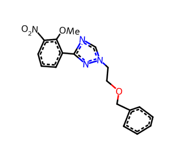 COc1c(-c2ncn(CCOCc3ccccc3)n2)cccc1[N+](=O)[O-]